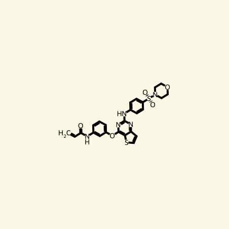 C=CC(=O)Nc1cccc(Oc2nc(Nc3ccc(S(=O)(=O)N4CCOCC4)cc3)nc3ccsc23)c1